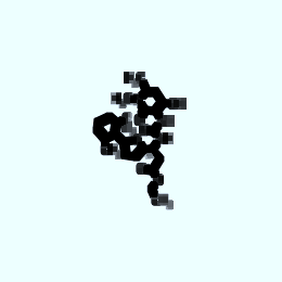 CCOC(=O)C[C@H](NC(=O)Nc1c(O)cc(C)n(C)c1=O)c1ccc(-c2c(C)cccc2C)s1